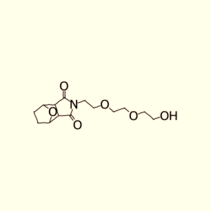 O=C1C2C3CCC(O3)C2C(=O)N1CCOCCOCCO